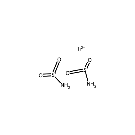 N[S-](=O)=O.N[S-](=O)=O.[Ti+2]